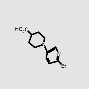 CCc1ccc(N2CCC(C(=O)O)CC2)cn1